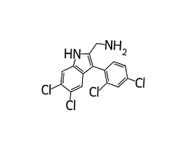 NCc1[nH]c2cc(Cl)c(Cl)cc2c1-c1ccc(Cl)cc1Cl